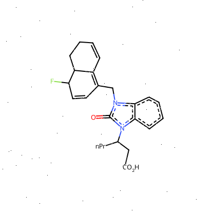 CCCC(CC(=O)O)n1c(=O)n(CC2=C3C=CCCC3C(F)C=C2)c2ccccc21